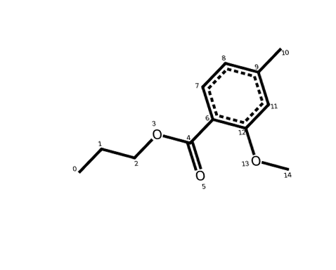 CCCOC(=O)c1ccc(C)cc1OC